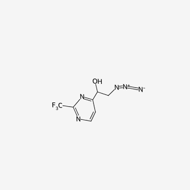 [N-]=[N+]=NCC(O)c1ccnc(C(F)(F)F)n1